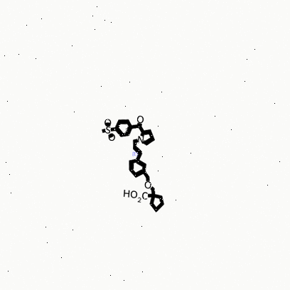 CS(=O)(=O)c1ccc(C(=O)c2cccn2C/C=C/c2cccc(COCC3(C(=O)O)CCCC3)c2)cc1